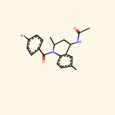 CC(=O)NC1CC(C)N(C(=O)c2ccc(Br)cc2)c2ccc(C)cc21